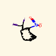 O=[N+]([O-])c1ccccc1C(I)I